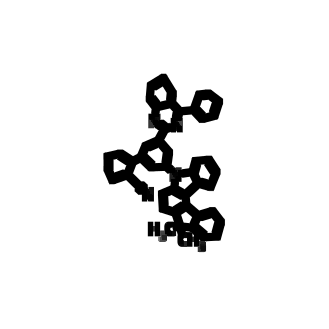 CC1(C)c2ccccc2-c2c1ccc1c2c2ccccc2n1-c1cc(-c2nc(-c3ccccc3)c3ccccc3n2)cc(-c2ccccc2C#N)c1